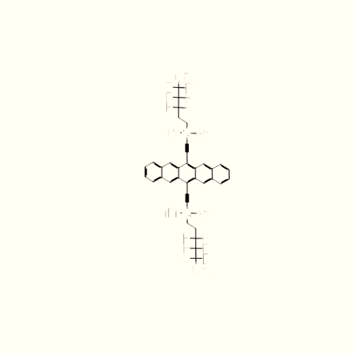 CC(C)[Si](C#Cc1c2cc3ccccc3cc2c(C#C[Si](CCC(F)(F)C(F)(F)C(F)(F)C(F)(F)F)(C(C)C)C(C)C)c2cc3ccccc3cc12)(CCC(F)(F)C(F)(F)C(F)(F)C(F)(F)F)C(C)C